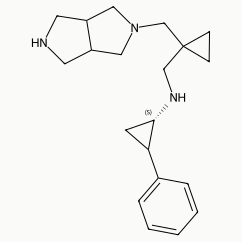 c1ccc(C2C[C@@H]2NCC2(CN3CC4CNCC4C3)CC2)cc1